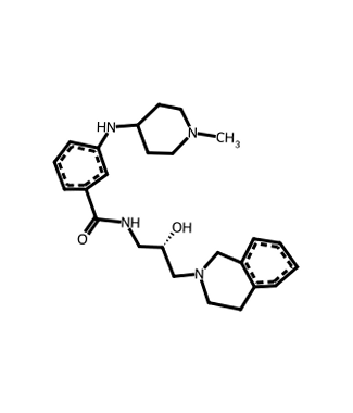 CN1CCC(Nc2cccc(C(=O)NC[C@H](O)CN3CCc4ccccc4C3)c2)CC1